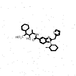 CC(NC(=O)c1ccc2c(c1)nc(Cc1cccs1)n2[C@@H]1CCCC[C@H]1C)C(O)C(C(=O)O)C1CCCCC1